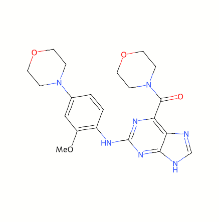 COc1cc(N2CCOCC2)ccc1Nc1nc(C(=O)N2CCOCC2)c2nc[nH]c2n1